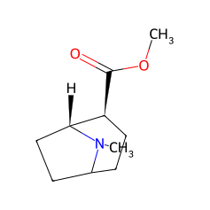 COC(=O)[C@H]1CCC2CC[C@H]1N2C